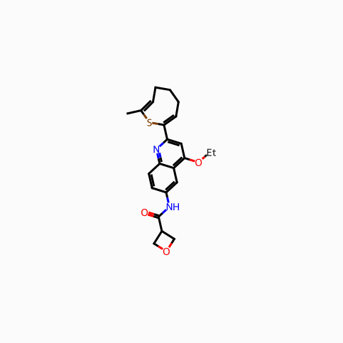 CCOc1cc(/C2=C/CCC/C=C(\C)S2)nc2ccc(NC(=O)C3COC3)cc12